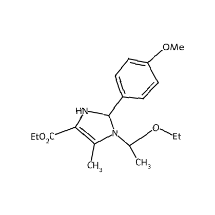 CCOC(=O)C1=C(C)N(C(C)OCC)C(c2ccc(OC)cc2)N1